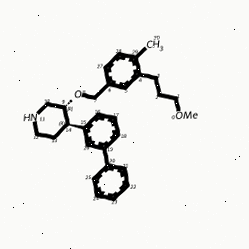 COCCCc1cc(CO[C@H]2CNCC[C@@H]2c2cccc(-c3ccccc3)c2)ccc1C